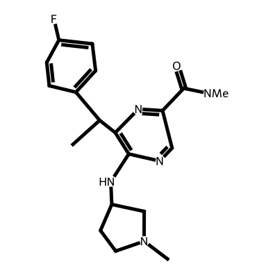 CNC(=O)c1cnc(NC2CCN(C)C2)c(C(C)c2ccc(F)cc2)n1